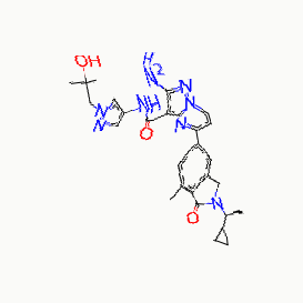 Cc1cc(-c2ccn3nc(N)c(C(=O)Nc4cnn(CC(C)(C)O)c4)c3n2)cc2c1C(=O)N([C@@H](C)C1CC1)C2